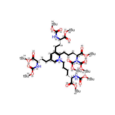 CC(C)(C)OC(=O)N[C@@H](CCCC[n+]1cc(CC[C@H](NC(=O)OC(C)(C)C)C(=O)OC(C)(C)C)cc(CC[C@H](NC(=O)OC(C)(C)C)C(=O)OC(C)(C)C)c1CCC[C@@H](C(=O)OC(C)(C)C)N(C(=O)OC(C)(C)C)C(=O)OC(C)(C)C)C(=O)OC(C)(C)C